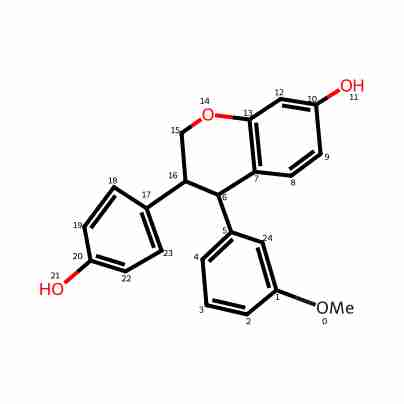 COc1cccc(C2c3ccc(O)cc3OCC2c2ccc(O)cc2)c1